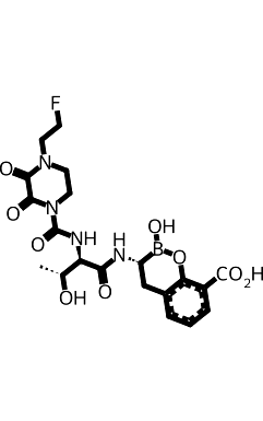 C[C@@H](O)[C@@H](NC(=O)N1CCN(CCF)C(=O)C1=O)C(=O)N[C@H]1Cc2cccc(C(=O)O)c2OB1O